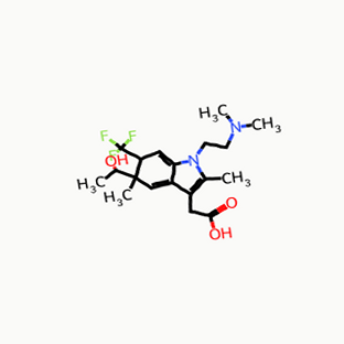 Cc1c(CC(=O)O)c2c(n1CCN(C)C)=CC(C(F)(F)F)C(C)(C(C)O)C=2